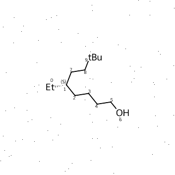 CC[C@@H](CCCCO)CCC(C)(C)C